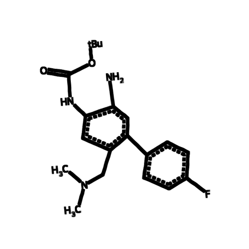 CN(C)Cc1cc(NC(=O)OC(C)(C)C)c(N)cc1-c1ccc(F)cc1